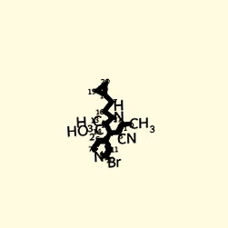 CC1=C(C#N)C(c2ccnc(Br)c2)C(C)(C(=O)O)C(CCC2CC2)N1